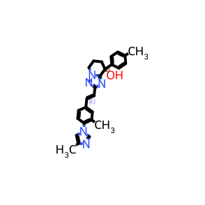 Cc1ccc([C@@]2(O)CCCn3nc(/C=C/c4ccc(-n5cnc(C)c5)c(C)c4)nc32)cc1